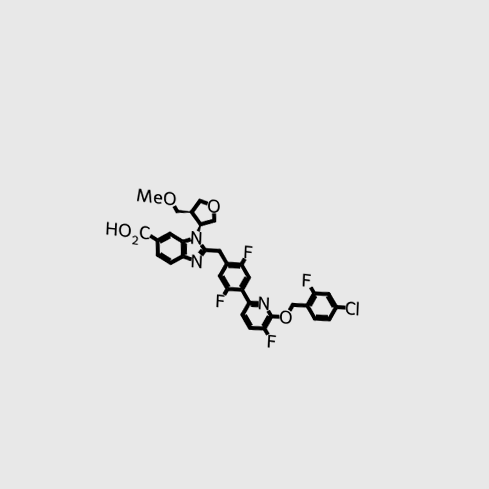 COC[C@H]1COC[C@H]1n1c(Cc2cc(F)c(-c3ccc(F)c(OCc4ccc(Cl)cc4F)n3)cc2F)nc2ccc(C(=O)O)cc21